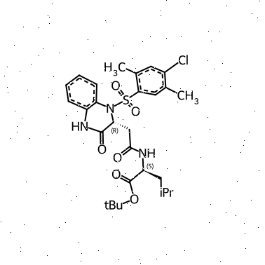 Cc1cc(S(=O)(=O)N2c3ccccc3NC(=O)[C@H]2CC(=O)N[C@@H](CC(C)C)C(=O)OC(C)(C)C)c(C)cc1Cl